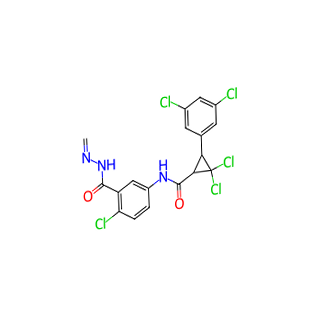 C=NNC(=O)c1cc(NC(=O)C2C(c3cc(Cl)cc(Cl)c3)C2(Cl)Cl)ccc1Cl